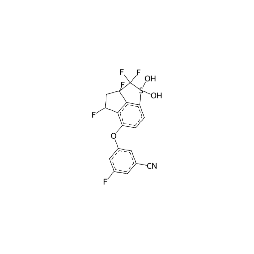 N#Cc1cc(F)cc(Oc2ccc3c4c2C(F)CC4(F)C(F)(F)S3(O)O)c1